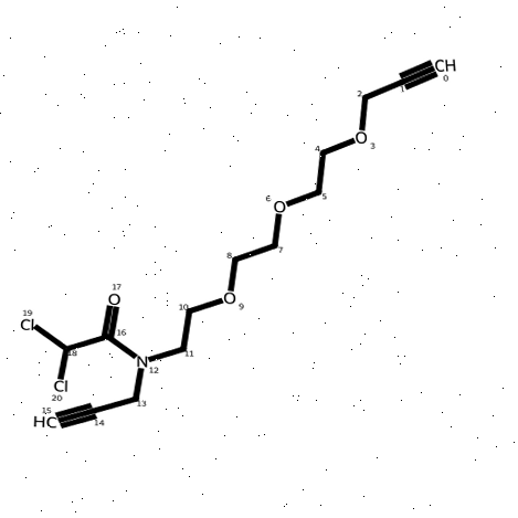 C#CCOCCOCCOCCN(CC#C)C(=O)C(Cl)Cl